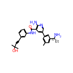 CC[C@H](N)c1cc(C)cc(-c2cnc(N)c(C(=O)Nc3cccc(C#CC(C)(C)O)c3)c2)c1